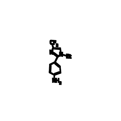 CCn1cc(C(F)(F)F)nc1-c1ccc(N)cc1